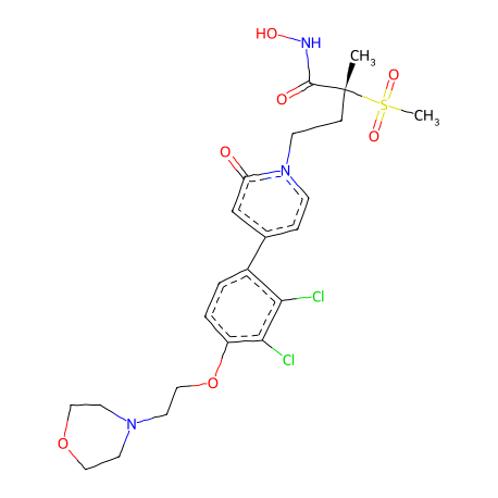 C[C@@](CCn1ccc(-c2ccc(OCCN3CCOCC3)c(Cl)c2Cl)cc1=O)(C(=O)NO)S(C)(=O)=O